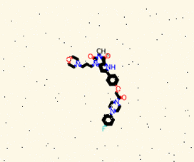 Cn1c(=O)c2[nH]c(-c3ccc(OCC(=O)N4CCN(c5ccc(F)cc5)CC4)cc3)cc2n(CCCN2CCOCC2)c1=O